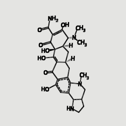 CN1CC2CCNC2c2cc(O)c3c(c21)C[C@@H]1C[C@@H]2[C@@H](N(C)C)C(O)=C(C(N)=O)C(=O)[C@@]2(O)C(O)=C1C3=O